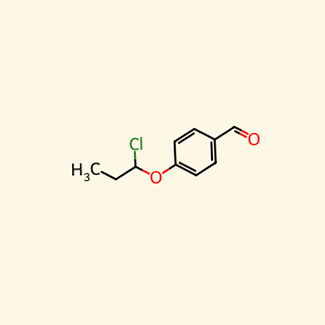 CCC(Cl)Oc1ccc(C=O)cc1